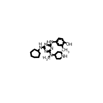 Cc1cc(Nc2nc(NC3CCCCCC3)nc(N(C)C3CCNCC3)n2)ccc1O